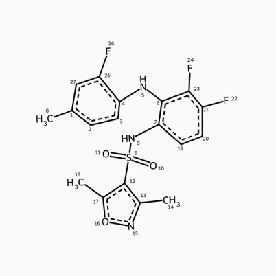 Cc1ccc(Nc2c(NS(=O)(=O)c3c(C)noc3C)ccc(F)c2F)c(F)c1